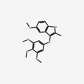 COc1ccc2[nH]c(C)c(Oc3cc(OC)c(OC)c(OC)c3)c2c1